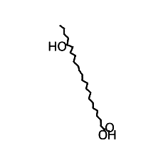 CCCCC(O)CCCCCCCCCCCCCCCCCCC(=O)O